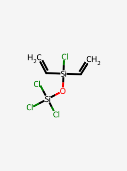 C=C[Si](Cl)(C=C)O[Si](Cl)(Cl)Cl